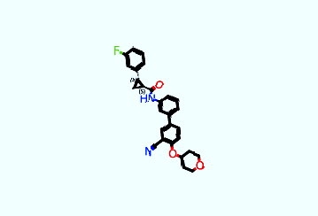 N#Cc1cc(-c2cccc(NC(=O)[C@H]3C[C@@H]3c3cccc(F)c3)c2)ccc1OC1CCOCC1